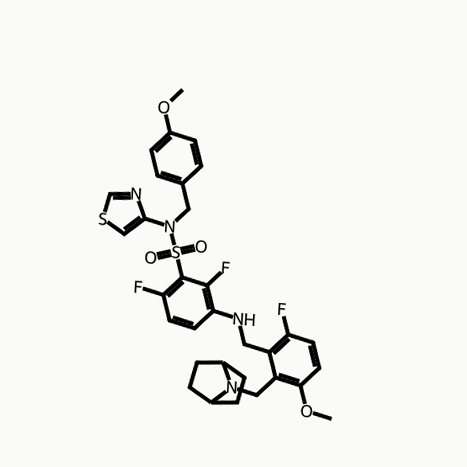 COc1ccc(CN(c2cscn2)S(=O)(=O)c2c(F)ccc(NCc3c(F)ccc(OC)c3CN3C4CCC3CC4)c2F)cc1